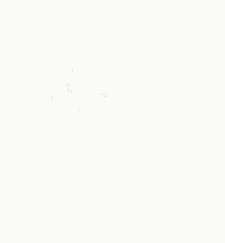 CC(O)C(NC(=O)c1ccc(C#Cc2ccc(CO)o2)cc1)C(=O)NO